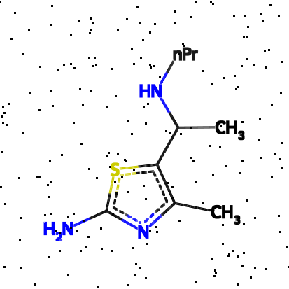 CCCNC(C)c1sc(N)nc1C